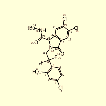 Cc1cc(Cl)ccc1C(F)(F)CN1C(=O)c2cc(Cl)c(Cl)cc2C1C(=O)NC(C)(C)C